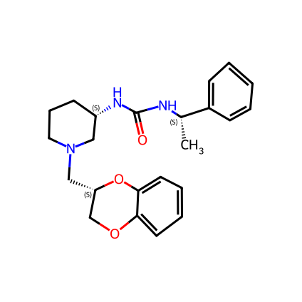 C[C@H](NC(=O)N[C@H]1CCCN(C[C@H]2COc3ccccc3O2)C1)c1ccccc1